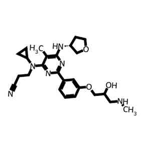 CNCC(O)COc1cccc(-c2nc(N[C@@H]3CCOC3)c(C)c(N(CCC#N)C3CC3)n2)c1